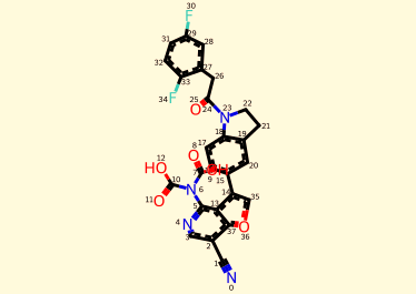 N#Cc1cnc(N(C(=O)O)C(=O)O)c2c(-c3ccc4c(c3)CCN4C(=O)Cc3cc(F)ccc3F)coc12